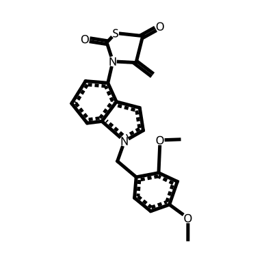 C=C1C(=O)SC(=O)N1c1cccc2c1ccn2Cc1ccc(OC)cc1OC